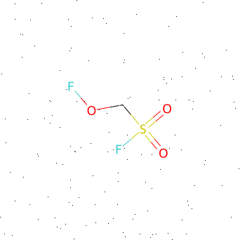 O=S(=O)(F)COF